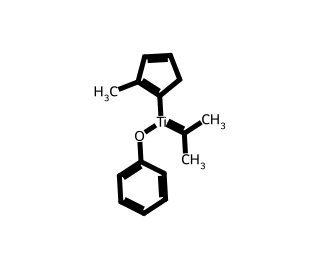 CC1=[C]([Ti]([O]c2ccccc2)=[C](C)C)CC=C1